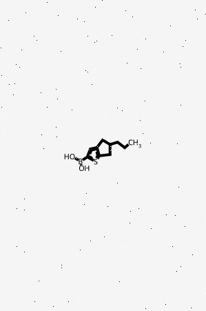 CCCC1Cc2cc(B(O)O)sc2C1